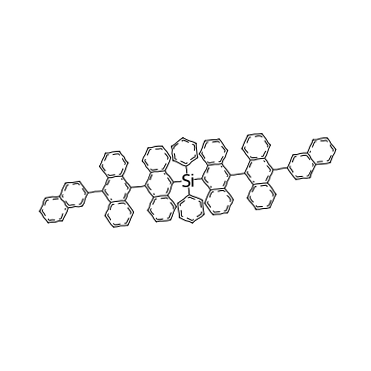 c1ccc([Si](c2ccccc2)(c2c3ccccc3c(-c3c4ccccc4c(-c4ccc5ccccc5c4)c4ccccc34)c3ccccc23)c2c3ccccc3c(-c3c4ccccc4c(-c4ccc5ccccc5c4)c4ccccc34)c3ccccc23)cc1